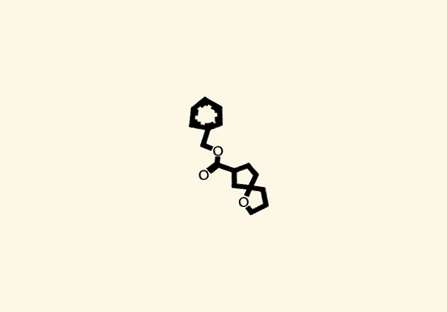 O=C(OCc1ccccc1)C1CCC2(CCCO2)C1